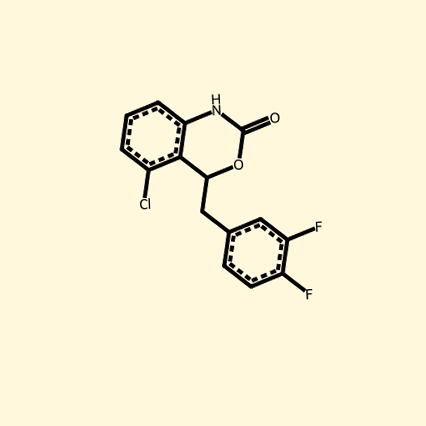 O=C1Nc2cccc(Cl)c2C(Cc2ccc(F)c(F)c2)O1